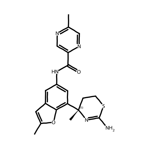 Cc1cnc(C(=O)Nc2cc([C@]3(C)CCSC(N)=N3)c3oc(C)cc3c2)cn1